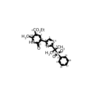 CCOC(=O)c1cc(-c2csc(C(C)(C)S(=O)(=O)c3ccccc3)n2)c(=O)[nH]c1C